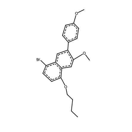 CCCCOc1ccc(Br)c2cc(-c3ccc(OC)cc3)c(OC)cc12